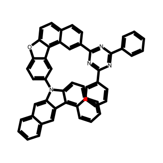 c1ccc(-c2nc(-c3ccccc3)nc(-c3ccc4ccc5oc6ccc(-n7c8cc9ccccc9cc8c8c9ccccc9ccc87)cc6c5c4c3)n2)cc1